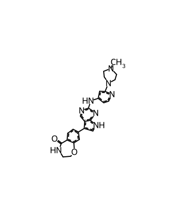 CN1CCN(c2cc(Nc3ncc4c(-c5ccc6c(c5)OCCNC6=O)c[nH]c4n3)ccn2)CC1